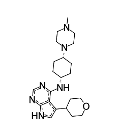 CN1CCN([C@H]2CC[C@@H](Nc3ncnc4[nH]cc(C5CCOCC5)c34)CC2)CC1